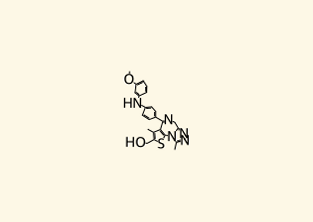 COc1cccc(Nc2ccc(C3=NCc4nnc(C)n4-c4sc(CO)c(C)c43)cc2)c1